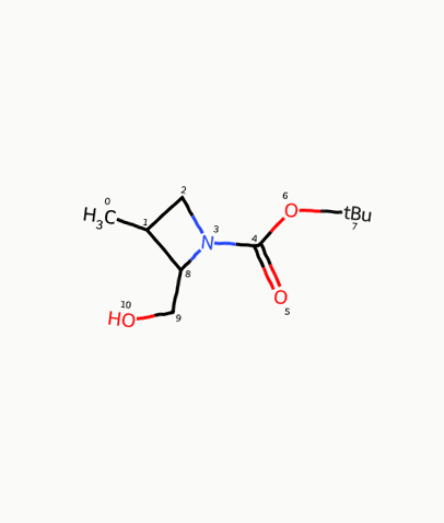 CC1CN(C(=O)OC(C)(C)C)C1CO